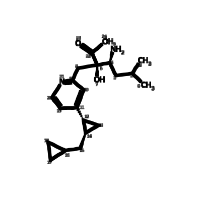 CC(C)C[C@H](N)[C@](O)(Cc1cc([C@@H]2C[C@H]2CC2CC2)ccn1)C(=O)O